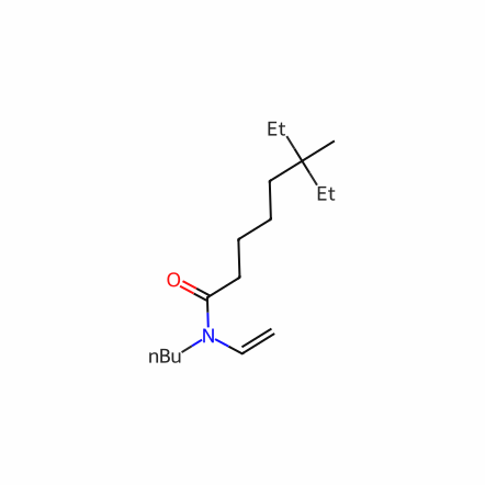 C=CN(CCCC)C(=O)CCCCC(C)(CC)CC